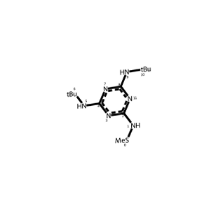 CSNc1nc(NC(C)(C)C)nc(NC(C)(C)C)n1